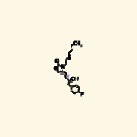 CCCCSCCN1C(=O)OC[C@@H]1/C=C/[C@@H](O)Cc1ccc(F)cc1